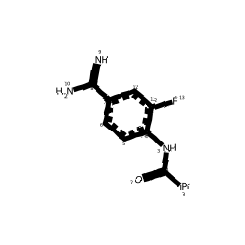 CC(C)C(=O)Nc1ccc(C(=N)N)cc1F